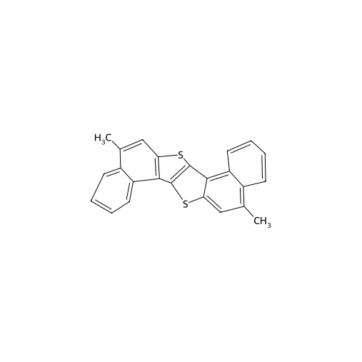 Cc1cc2sc3c(sc4cc(C)c5ccccc5c43)c2c2ccccc12